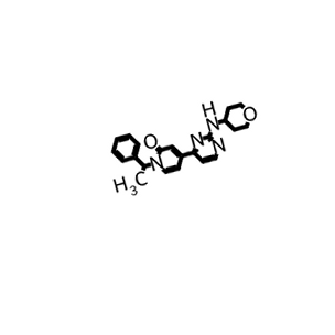 CC(c1ccccc1)n1ccc(-c2ccnc(NC3CCOCC3)n2)cc1=O